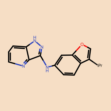 CC(C)c1coc2cc(Nc3n[nH]c4cccnc34)ccc12